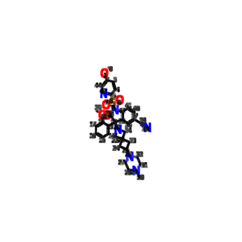 COc1ccc(S(=O)(=O)N2C(=O)C(c3ccccc3OC)(N3CC4(CC(N5CCN(C)CC5)C4)C3)c3cc(C#N)ccc32)nc1